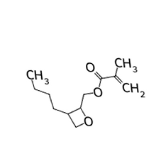 C=C(C)C(=O)OCC1OCC1CCCC